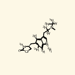 [2H]c1c(C[C@H]2COC(=O)N2[2H])c([2H])c2c(CC([2H])([2H])N(C)C([2H])([2H])[2H])cn([2H])c2c1[2H]